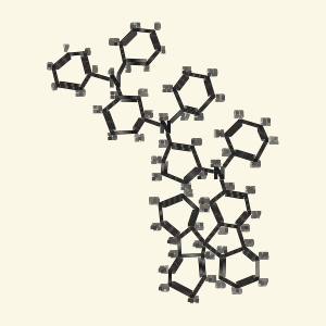 c1ccc(N(c2ccccc2)c2cccc(N(c3ccccc3)c3cccc(N(c4ccccc4)c4ccc5c(c4)C4(c6ccccc6-c6ccccc64)c4ccccc4-5)c3)c2)cc1